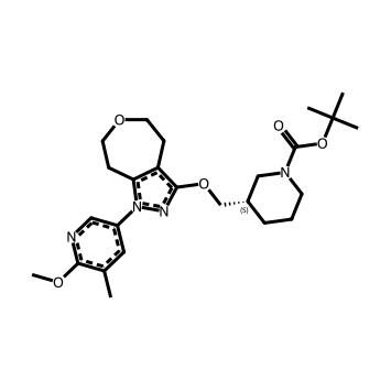 COc1ncc(-n2nc(OC[C@H]3CCCN(C(=O)OC(C)(C)C)C3)c3c2CCOCC3)cc1C